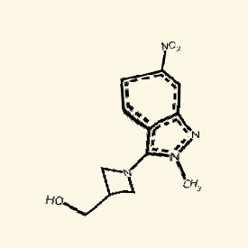 Cn1nc2cc([N+](=O)[O-])ccc2c1N1CC(CO)C1